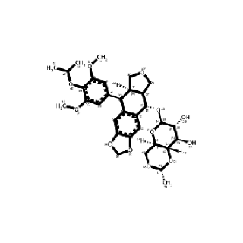 COc1cc([C@@H]2c3cc4c(cc3[C@@H](O[C@@H]3O[C@@H]5CO[C@@H](C)O[C@H]5[C@H](O)[C@H]3O)C3COC[C@@H]32)OCO4)cc(OC)c1OC(C)C